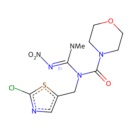 CN/C(=N\[N+](=O)[O-])N(Cc1cnc(Cl)s1)C(=O)N1CCOCC1